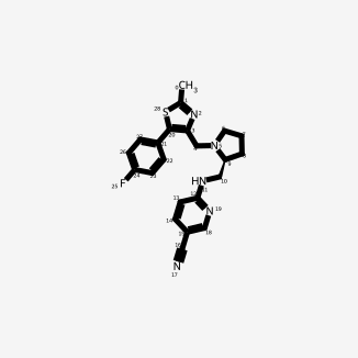 Cc1nc(CN2CCC[C@H]2CNc2ccc(C#N)cn2)c(-c2ccc(F)cc2)s1